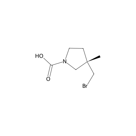 C[C@]1(CBr)CCN(C(=O)O)C1